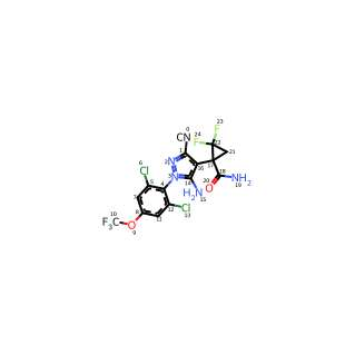 N#Cc1nn(-c2c(Cl)cc(OC(F)(F)F)cc2Cl)c(N)c1C1(C(N)=O)CC1(F)F